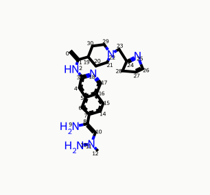 C=C(Nc1cc2cc(/C(N)=C/N(C)N)ccc2cn1)C1CCN(CC2=NC=CC2)CC1